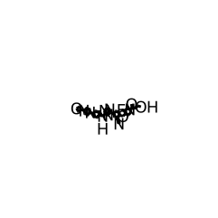 N#Cc1cc(-c2ncnc(Nc3ccc(N4CCN(C5COC5)CC4)cc3)n2)ccc1OC1CCN(C(=O)CCO)CC1F